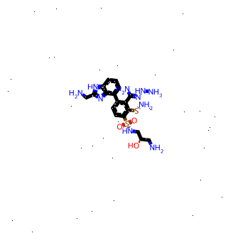 NCc1nc2c(-c3ccc(S(=O)(=O)NC[C@H](O)CN)c(SN)c3/C(N)=N/NN)cccc2[nH]1